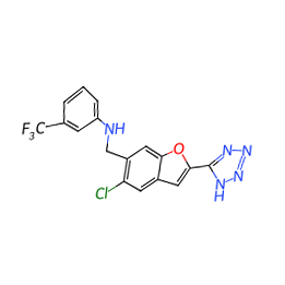 FC(F)(F)c1cccc(NCc2cc3oc(-c4nnn[nH]4)cc3cc2Cl)c1